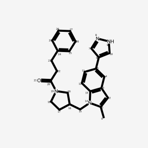 Cc1cc2cc(-c3cn[nH]c3)ccc2n1CC1CCN(C(=O)CCc2ccccc2)C1